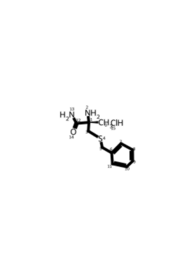 C[C@@](N)(CSCc1ccccc1)C(N)=O.Cl